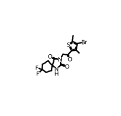 Cc1sc(C(=O)CN2C(=O)NC3(CCC(F)(F)CC3)C2=O)c(C)c1Br